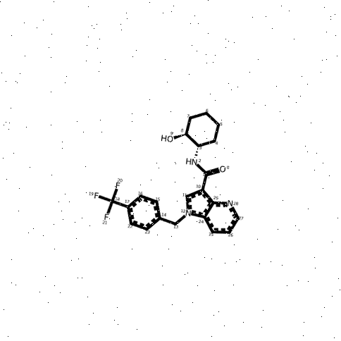 O=C(N[C@H]1CCCC[C@@H]1O)c1cn(Cc2ccc(C(F)(F)F)cc2)c2cccnc12